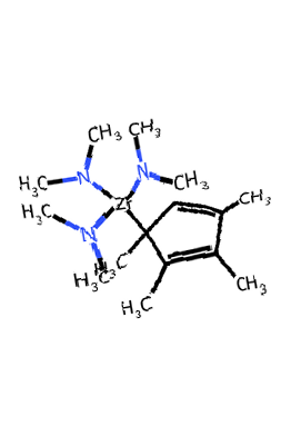 CC1=C[C](C)([Zr]([N](C)C)([N](C)C)[N](C)C)C(C)=C1C